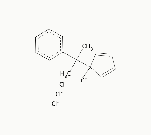 CC(C)(c1ccccc1)[C]1([Ti+3])C=CC=C1.[Cl-].[Cl-].[Cl-]